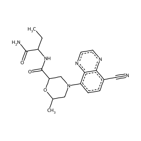 CCC(NC(=O)C1CN(c2ccc(C#N)c3nccnc23)CC(C)O1)C(N)=O